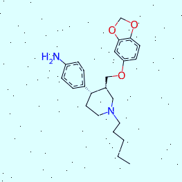 CCCCCN1CC[C@H](c2ccc(N)cc2)[C@@H](COc2ccc3c(c2)OCO3)C1